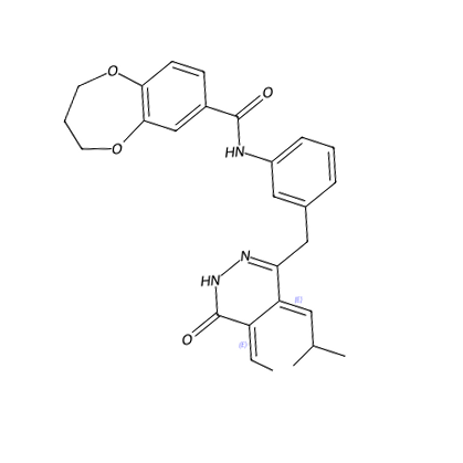 C/C=c1/c(=O)[nH]nc(Cc2cccc(NC(=O)c3ccc4c(c3)OCCCO4)c2)/c1=C/C(C)C